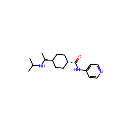 CC(C)NC(C)[C@H]1CC[C@H](C(=O)Nc2ccncc2)CC1